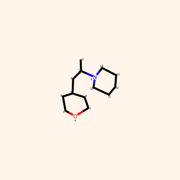 CC(CC1CCOCC1)N1CC[CH]CC1